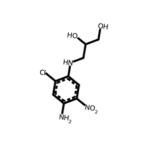 Nc1cc(Cl)c(NCC(O)CO)cc1[N+](=O)[O-]